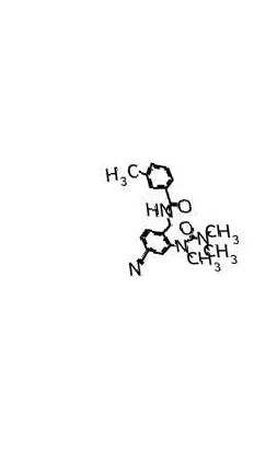 Cc1cccc(C(=O)NCc2ccc(C#N)cc2N(C)C(=O)N(C)C)c1